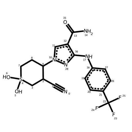 N#CC1CS(O)(O)CCC1n1cc(C(N)=O)c(Nc2ccc(C(F)(F)F)cc2)n1